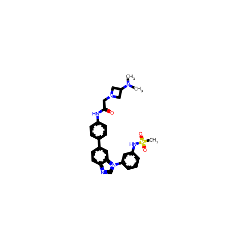 CN(C)C1CN(CC(=O)Nc2ccc(-c3ccc4ncn(-c5cccc(NS(C)(=O)=O)c5)c4c3)cc2)C1